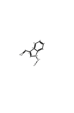 O=Cc1cn(SF)c2ccccc12